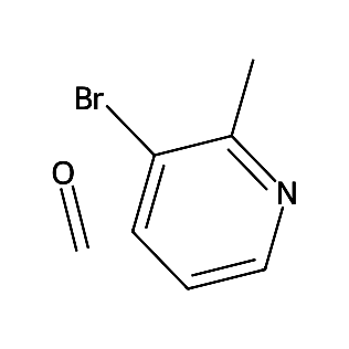 C=O.Cc1ncccc1Br